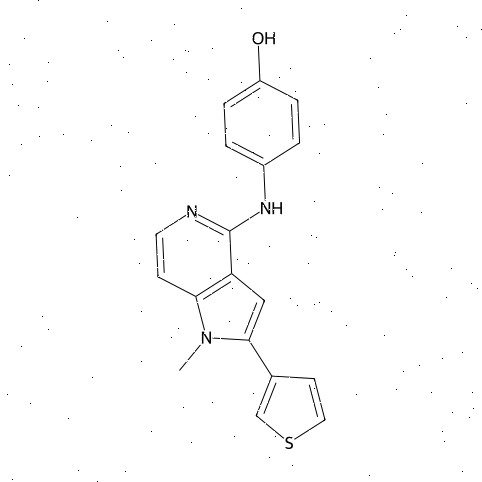 Cn1c(-c2ccsc2)cc2c(Nc3ccc(O)cc3)nccc21